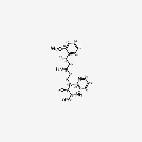 CCCC(=N)C(=O)N(CCC(=N)CC(C)c1ccccc1OC)c1ccccn1